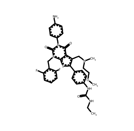 CCNC(=O)Nc1ccc(-c2sc3c(c2CN(C)CCOC)c(=O)n(-c2ccc(N)cc2)c(=O)n3Cc2c(F)cccc2F)cc1